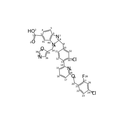 O=C(O)c1ccc2nc(Cc3ccc(-c4cccc(OCc5ccc(Cl)cc5F)n4)c(Cl)c3)n(Cc3cnco3)c2c1